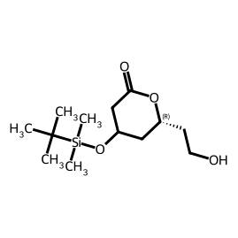 CC(C)(C)[Si](C)(C)OC1CC(=O)O[C@H](CCO)C1